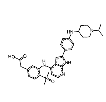 CC(C)N1CCC(Nc2ccc(-c3cc4c(Nc5cc(CC(=O)O)ccc5P(C)(C)=O)ccnc4[nH]3)cc2)CC1